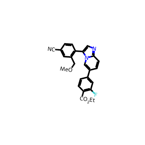 CCOC(=O)c1ccc(-c2ccc3ncc(-c4ccc(C#N)cc4COC)n3c2)cc1F